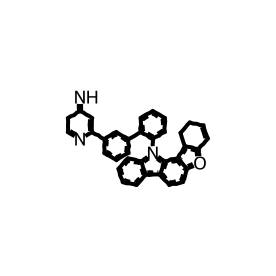 N=C1C=C(c2cccc(-c3ccccc3-n3c4ccccc4c4ccc5oc6c(c5c43)CCC=C6)c2)N=CC1